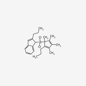 CCCC1=Cc2ccccc2[CH]1[Zr]([Cl])([Cl])[C]1(C)C(C)=C(C)C(C)=C1CCC